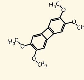 COc1cc2c(cc1OC)-c1cc(OC)c(OC)cc1-2